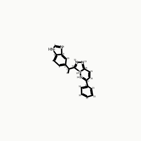 CC(c1ccc2[nH]cnc2c1)c1nnc2ccc(-c3ccccc3)nn12